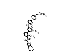 COCCN1CCN(c2ccc(Nc3cc(-c4cccc(NC(=O)c5cc6c(s5)CCCCC6)c4C)cn(C)c3=O)nc2)CC1